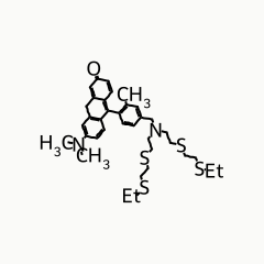 CCSCCSCCN(CCSCCSCC)Cc1ccc(C2=C3C=CC(=O)C=C3Cc3cc(N(C)C)ccc32)c(C)c1